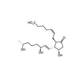 C[C@@H](O)CCC[C@H](O)/C=C/[C@H]1[C@H](O)CC(=O)[C@@H]1C/C=C\CCCC(=O)O